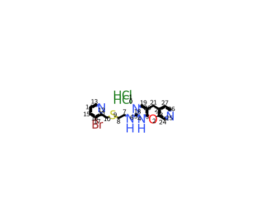 Cl.Cl.O=c1[nH]c(NCCSCc2ncccc2Br)ncc1Cc1ccncc1